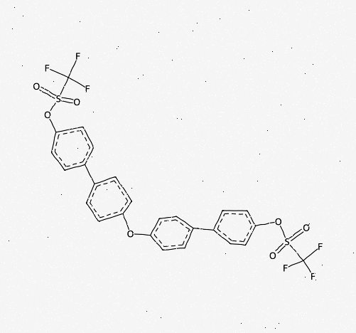 O=S(=O)(Oc1ccc(-c2ccc(Oc3ccc(-c4ccc(OS(=O)(=O)C(F)(F)F)cc4)cc3)cc2)cc1)C(F)(F)F